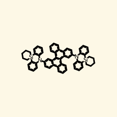 c1ccc2c(c1)N(c1ccc3c4ccccc4c4c5cc(N6c7ccccc7[Si]7(CCCCC7)c7ccccc76)ccc5c5ccccc5c4c3c1)c1ccccc1[Si]21CCCCC1